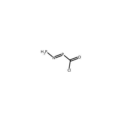 O=C(Cl)P=NP